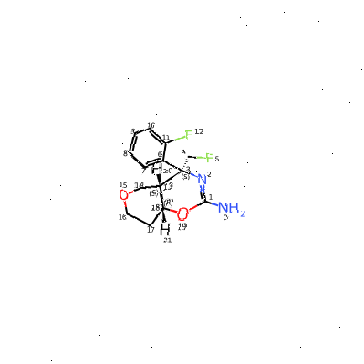 NC1=N[C@](CF)(c2ccccc2F)[C@H]2COCC[C@H]2O1